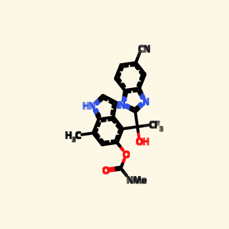 CNC(=O)Oc1cc(C)c2[nH]ccc2c1C(O)(c1nc2cc(C#N)ccc2[nH]1)C(F)(F)F